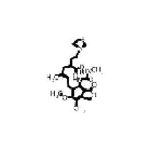 CNC(=O)Nc1c(C/C=C(\C)CC(CCN2CCSC2)C(=O)O)c(OC)c(C)c2c1C(=O)OC2